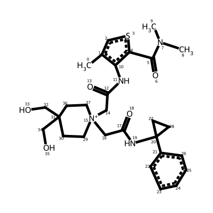 Cc1csc(C(=O)N(C)C)c1NC(=O)C[N+]1(CC(=O)NC2(c3ccccc3)CC2)CCC(CO)(CO)CC1